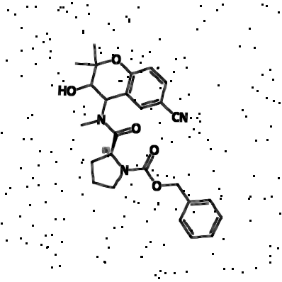 CN(C(=O)[C@@H]1CCCN1C(=O)OCc1ccccc1)C1c2cc(C#N)ccc2OC(C)(C)C1O